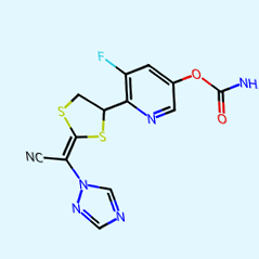 N#CC(=C1SCC(c2ncc(OC(N)=O)cc2F)S1)n1cncn1